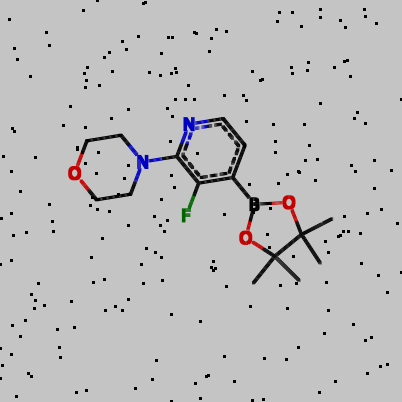 CC1(C)OB(c2ccnc(N3CCOCC3)c2F)OC1(C)C